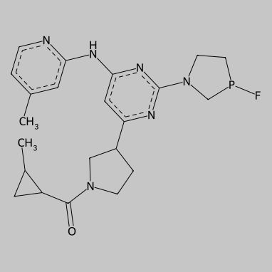 Cc1ccnc(Nc2cc(C3CCN(C(=O)C4CC4C)C3)nc(N3CCP(F)C3)n2)c1